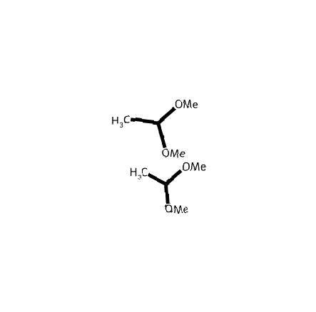 COC(C)OC.COC(C)OC